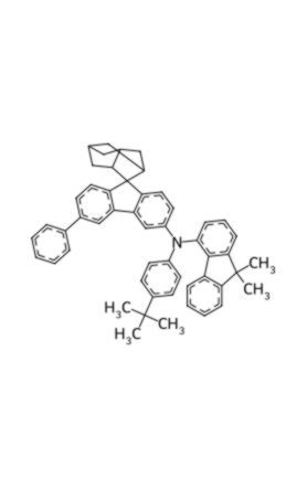 CC(C)(C)c1ccc(N(c2ccc3c(c2)-c2cc(-c4ccccc4)ccc2C32C3CC4CC(C3)C2C4)c2cccc3c2-c2ccccc2C3(C)C)cc1